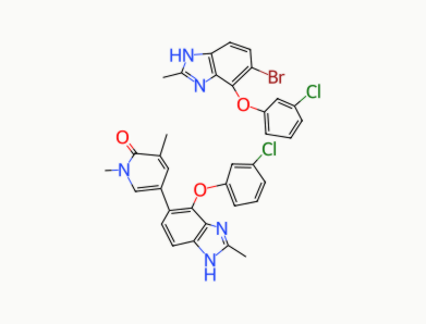 Cc1nc2c(Oc3cccc(Cl)c3)c(-c3cc(C)c(=O)n(C)c3)ccc2[nH]1.Cc1nc2c(Oc3cccc(Cl)c3)c(Br)ccc2[nH]1